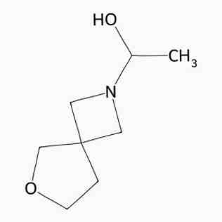 CC(O)N1CC2(CCOC2)C1